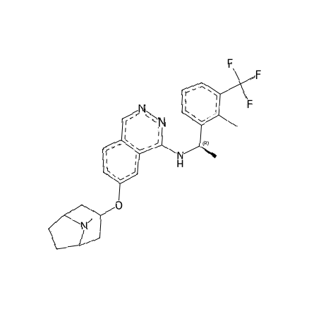 Cc1c([C@@H](C)Nc2nncc3ccc(OC4CC5CCC(C4)N5C)cc23)cccc1C(F)(F)F